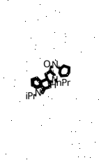 CCCN1C[C@H](C(=O)N(C)C2CCCCCC2)CC2c3cccc4c3c(cn4C(C)C)C[C@H]21